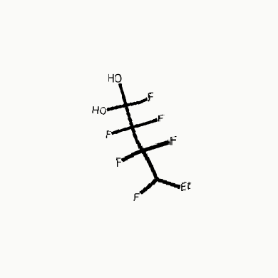 CCC(F)C(F)(F)C(F)(F)C(O)(O)F